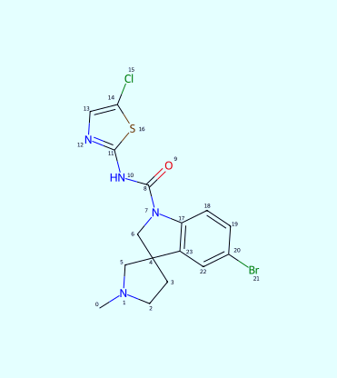 CN1CCC2(C1)CN(C(=O)Nc1ncc(Cl)s1)c1ccc(Br)cc12